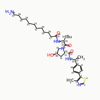 Cc1ncsc1-c1ccc([C@H](C)NC(=O)[C@@H]2C[C@@H](O)CN2C(=O)[C@@H](NC(=O)CCCCCCCCCCCN)C(C)(C)C)cc1